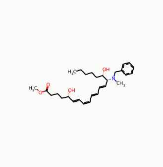 CCCCC[C@H](O)[C@@H](/C=C/C=C/C=C\C=C\[C@@H](O)CCCC(=O)OC)N(C)Cc1ccccc1